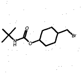 CC(C)(C)NC(=O)OC1CCC(CBr)CC1